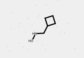 ONCC1CCC1